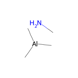 CN.[CH3][Al]([CH3])[CH3]